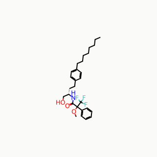 CCCCCCCCc1ccc(CC[C@@H](CO)NC(=O)C(OC)(c2ccccc2)C(F)(F)F)cc1